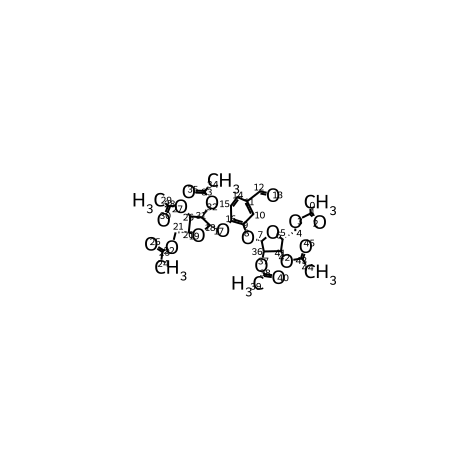 CC(=O)OC[C@H]1O[C@@H](Oc2cc(C=O)ccc2O[C@@H]2O[C@H](COC(C)=O)[C@@H](OC(C)=O)[C@H]2OC(C)=O)C(OC(C)=O)C1OC(C)=O